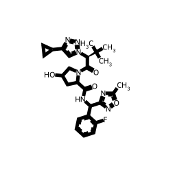 Cc1nc(C(NC(=O)C2CC(O)CN2C(=O)[C@@H](n2cc(C3CC3)nn2)C(C)(C)C)c2ccccc2F)no1